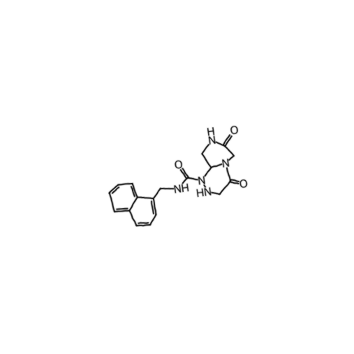 O=C1CN2C(=O)CNN(C(=O)NCc3cccc4ccccc34)C2CN1